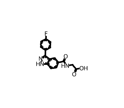 O=C(O)CNC(=O)c1ccc2[nH]nc(-c3ccc(F)cc3)c2c1